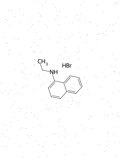 Br.CCNc1cccc2ccccc12